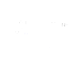 CC/C(=C(/c1ccc(/C=C/C(=O)O)cc1)c1ccc2c(c1)C(=O)NC2)c1ccccc1